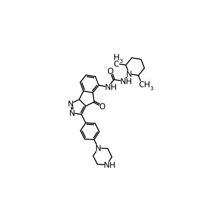 CC1CCCC(C)N1NC(=O)Nc1cccc2c1C(=O)C1=C(c3ccc(N4CCNCC4)cc3)N=NC12